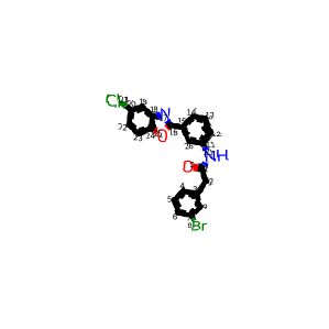 O=C(Cc1cccc(Br)c1)Nc1cccc(-c2nc3cc(Cl)ccc3o2)c1